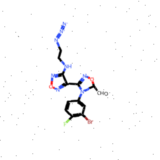 [N-]=[N+]=NCCNc1nonc1C1=NOC(C=O)N1c1ccc(F)c(Br)c1